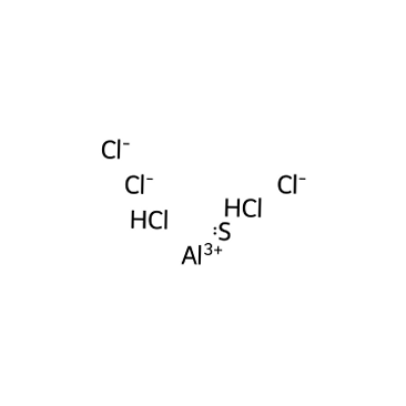 Cl.Cl.[Al+3].[Cl-].[Cl-].[Cl-].[S]